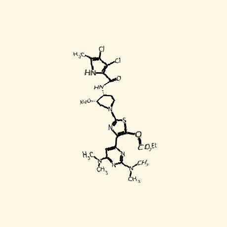 CCOC(=O)Oc1sc(N2CC[C@@H](NC(=O)c3[nH]c(C)c(Cl)c3Cl)[C@@H](OC)C2)nc1-c1cc(N(C)C)nc(N(C)C)n1